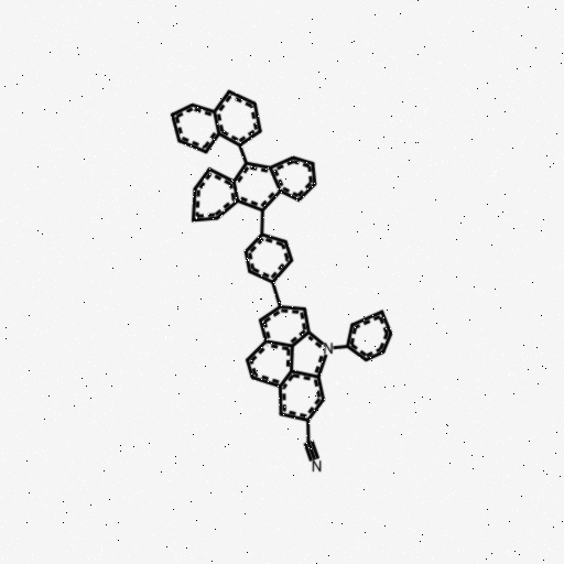 N#Cc1cc2ccc3cc(-c4ccc(-c5c6ccccc6c(-c6cccc7ccccc67)c6ccccc56)cc4)cc4c3c2c(c1)n4-c1ccccc1